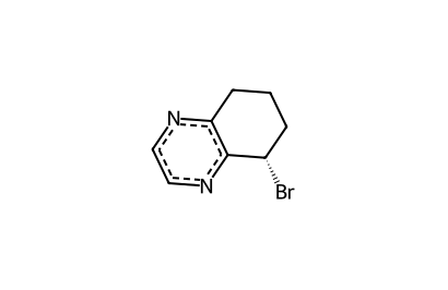 Br[C@H]1CCCc2nccnc21